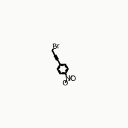 O=[N+]([O-])c1ccc(C#CCBr)cc1